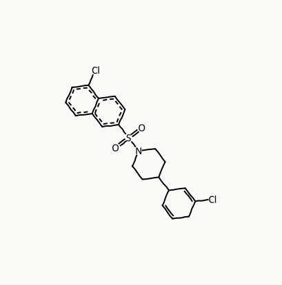 O=S(=O)(c1ccc2c(Cl)cccc2c1)N1CCC(C2C=CCC(Cl)=C2)CC1